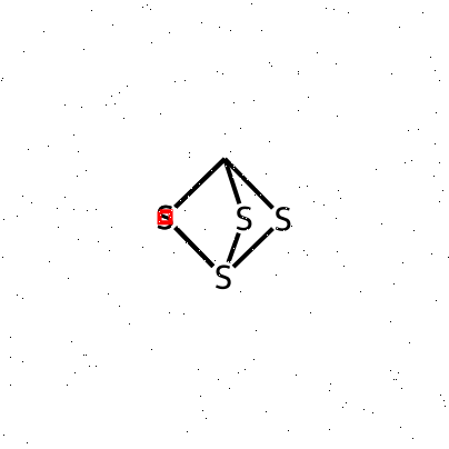 S1C23SS1(S2)S3